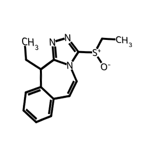 CCC1c2ccccc2C=Cn2c1nnc2[S+]([O-])CC